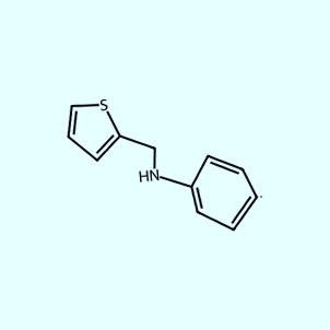 [c]1ccc(NCc2cccs2)cc1